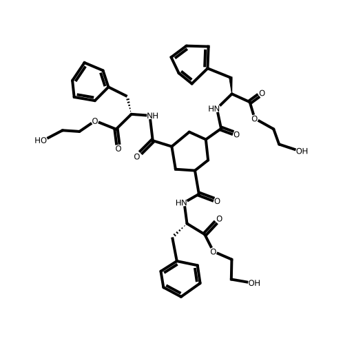 O=C(N[C@@H](Cc1ccccc1)C(=O)OCCO)C1CC(C(=O)N[C@@H](Cc2ccccc2)C(=O)OCCO)CC(C(=O)N[C@@H](Cc2ccccc2)C(=O)OCCO)C1